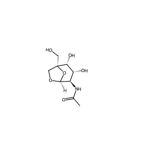 CC(=O)N[C@H]1[C@H]2OC[C@](CO)(O2)[C@H](O)[C@@H]1O